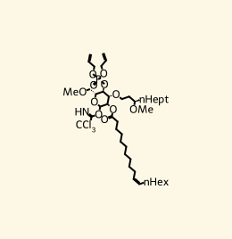 C=CCOP(=O)(OCC=C)O[C@H]1[C@H](OCC[C@@H](CCCCCCC)OC)[C@@H](OC(=O)CCCCCCCCC/C=C\CCCCCC)C(OC(=N)C(Cl)(Cl)Cl)O[C@@H]1COC